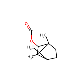 CC1(C)C2CCC1(C)C(O[C]=O)C2